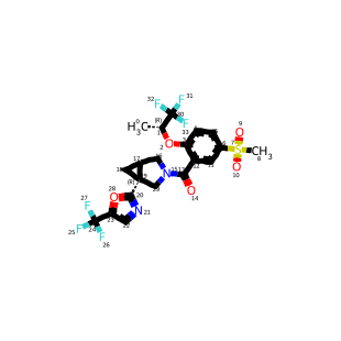 C[C@@H](Oc1ccc(S(C)(=O)=O)cc1C(=O)N1CC2C[C@]2(c2ncc(C(F)(F)F)o2)C1)C(F)(F)F